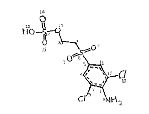 Nc1c(Cl)cc(S(=O)(=O)CCOS(=O)(=O)O)cc1Cl